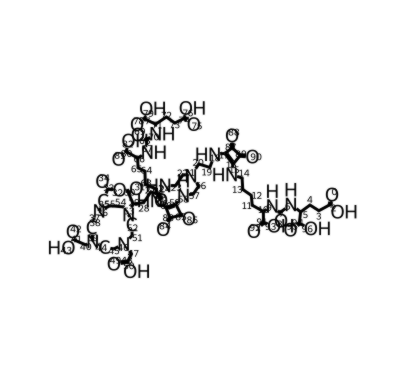 O=C(O)CCC(NC(=O)NC(CCCCNc1c(NCCN(CCNC(=O)CCC2C(=O)OC(=O)CN3CCN(CC(=O)O)CCN(CC(=O)O)CCN2CC3)CCNc2c(NCCCCC(NC(=O)NC(CCC(=O)O)C(=O)O)C(=O)O)c(=O)c2=O)c(=O)c1=O)C(=O)O)C(=O)O